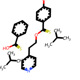 CC(C)C.CC(C)C.OC(=S)c1ccccc1.Oc1ccc(C(=S)OCCc2ccncc2)cc1